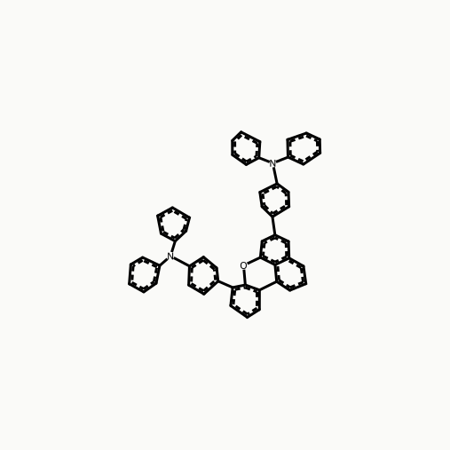 c1ccc(N(c2ccccc2)c2ccc(-c3cc4c5c(cccc5c3)-c3cccc(-c5ccc(N(c6ccccc6)c6ccccc6)cc5)c3O4)cc2)cc1